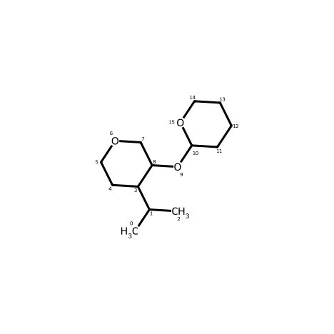 CC(C)C1CCOCC1OC1CCCCO1